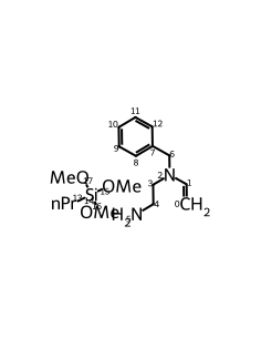 C=CN(CCN)Cc1ccccc1.CCC[Si](OC)(OC)OC